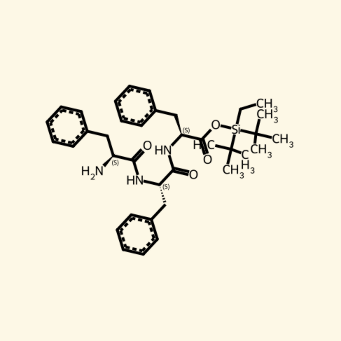 CC[Si](OC(=O)[C@H](Cc1ccccc1)NC(=O)[C@H](Cc1ccccc1)NC(=O)[C@@H](N)Cc1ccccc1)(C(C)(C)C)C(C)(C)C